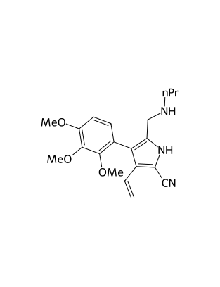 C=Cc1c(C#N)[nH]c(CNCCC)c1-c1ccc(OC)c(OC)c1OC